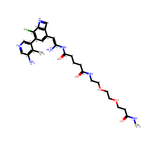 CNC(=O)CCOCCOCCNC(=O)CCCC(=O)N/C(N)=C/c1cc(-c2cncc(N)c2C)c(F)c2c1C=N2